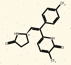 O=C1CC[C@H](C=C(c2ccc(C(F)(F)F)cc2)c2ccc(C(F)(F)F)c(=O)[nH]2)N1